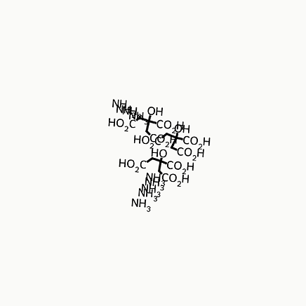 N.N.N.N.N.N.N.N.N.O=C(O)CC(O)(CC(=O)O)C(=O)O.O=C(O)CC(O)(CC(=O)O)C(=O)O.O=C(O)CC(O)(CC(=O)O)C(=O)O